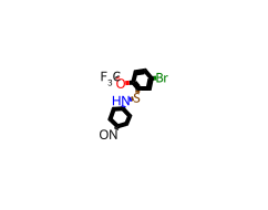 O=NC1CCC(NSc2cc(Br)ccc2OC(F)(F)F)CC1